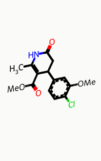 COC(=O)C1=C(C)NC(=O)CC1c1ccc(Cl)c(OC)c1